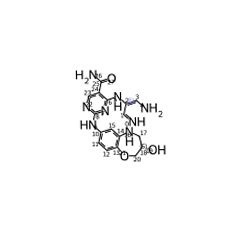 N=C/C(=C\N)Nc1nc(Nc2ccc3c(c2)NC[C@H](O)CO3)ncc1C(N)=O